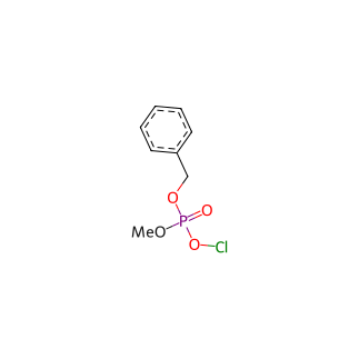 COP(=O)(OCl)OCc1ccccc1